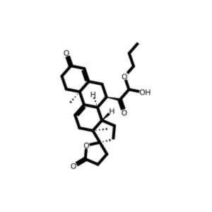 CCCOC(O)C(=O)[C@@H]1CC2=CC(=O)CC[C@]2(C)C2=CC[C@@]3(C)[C@@H](CC[C@@]34CCC(=O)O4)[C@@H]21